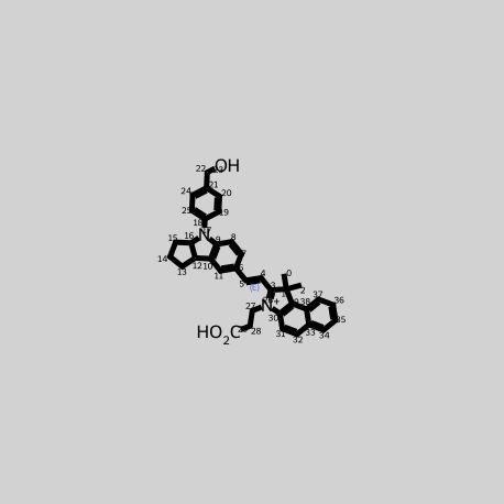 CC1(C)C(/C=C/c2ccc3c(c2)C2CCCC2N3c2ccc(CO)cc2)=[N+](CCC(=O)O)c2ccc3ccccc3c21